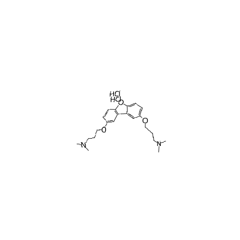 CN(C)CCCOc1ccc2oc3ccc(OCCCN(C)C)cc3c2c1.Cl.Cl